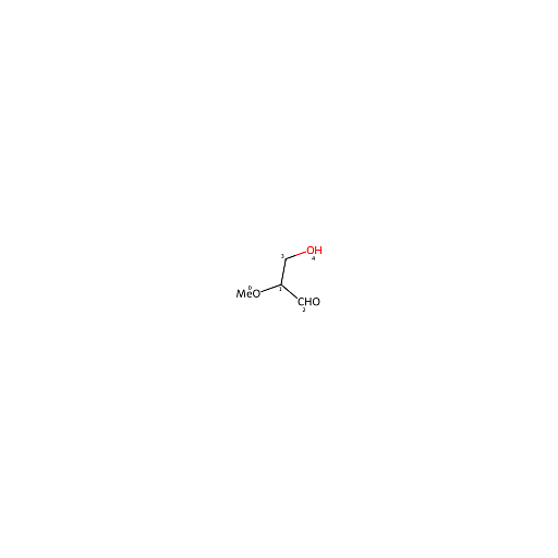 COC(C=O)CO